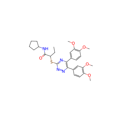 CCC(Sc1nnc(-c2ccc(OC)c(OC)c2)c(-c2ccc(OC)c(OC)c2)n1)C(=O)NC1CCCC1